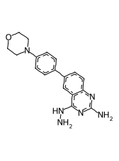 NNc1nc(N)nc2ccc(-c3ccc(N4CCOCC4)cc3)cc12